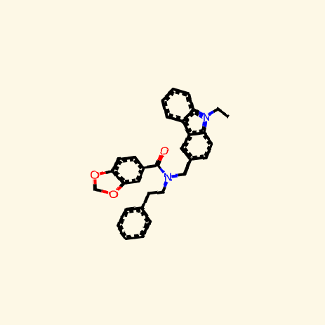 CCn1c2ccccc2c2cc(CN(CCc3ccccc3)C(=O)c3ccc4c(c3)OCO4)ccc21